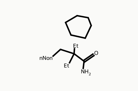 C1CCCCC1.CCCCCCCCCCC(CC)(CC)C(N)=O